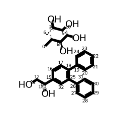 CC[C@H](O)CO.C[C@H](O)CO.OC[C@@H](O)c1ccc(-c2ccccc2)c(-c2ccccc2)c1